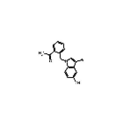 N#Cc1ccc2c(c1)c(Br)cn2Cc1ccccc1C(N)=O